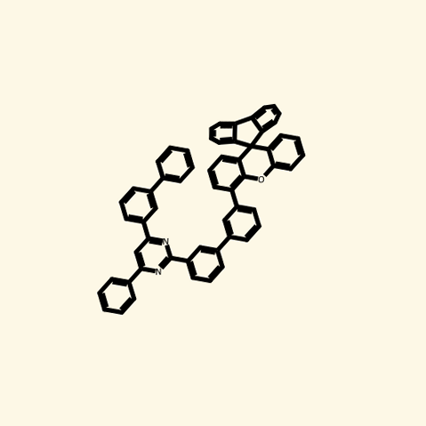 c1ccc(-c2cccc(-c3cc(-c4ccccc4)nc(-c4cccc(-c5cccc(-c6cccc7c6Oc6ccccc6C76c7ccccc7-c7ccccc76)c5)c4)n3)c2)cc1